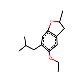 CCOc1cc2c(cc1CC(C)C)OC(C)C2